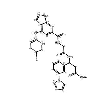 COC(=O)C[C@H](NC(=O)CNC(=O)c1cc(NC2=NCC(F)CN2)c2cn[nH]c2c1)c1cccc(-n2cccn2)c1